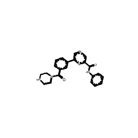 O=C(Nc1ccccc1)c1cncc(-c2cccc(C(=O)N3CCNCC3)c2)n1